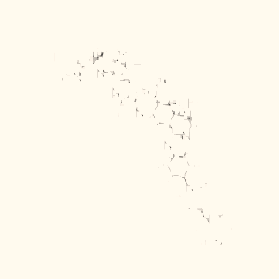 CN[C@@H](C)C(=O)N[C@H](C(=O)N1CCC[C@H]1C(=O)Nc1cc2c(Nc3ccc(N4CCC(N5CCCCC5)CC4)cc3)ncnc2cc1OC)C(C)(C)C.Cl